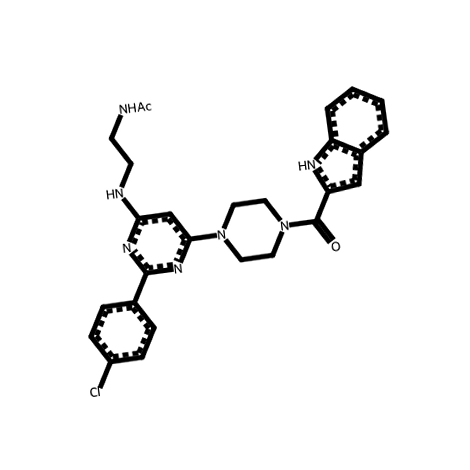 CC(=O)NCCNc1cc(N2CCN(C(=O)c3cc4ccccc4[nH]3)CC2)nc(-c2ccc(Cl)cc2)n1